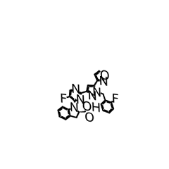 O=C(O)[C@H]1Cc2ccccc2N1c1nc(-c2cc(-c3ccon3)n(Cc3ccccc3F)n2)ncc1F